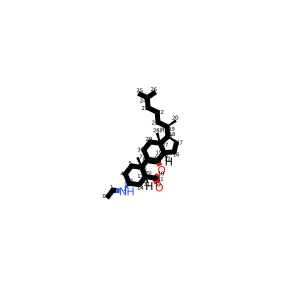 CCN[C@H]1CC[C@]2(C)C3=C(OC(=O)[C@H]2C1)[C@@H]1CC[C@H]([C@H](C)CCCC(C)C)[C@@]1(C)CC3